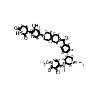 Cc1cc(N2CCC3(CCN(C(=O)c4ccc([C@H]5C[C@@H](Nc6cnn(C)c(=O)c6Cl)CN(C)C5)cc4)CC3)CC2)cnc1C1CCC(=O)NC1=O